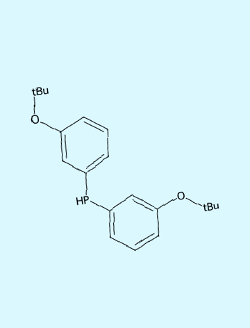 CC(C)(C)Oc1cccc(Pc2cccc(OC(C)(C)C)c2)c1